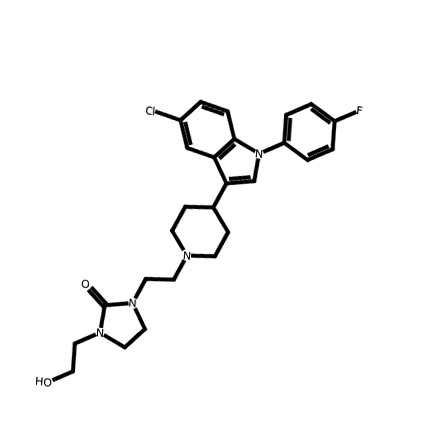 O=C1N(CCO)CCN1CCN1CCC(c2cn(-c3ccc(F)cc3)c3ccc(Cl)cc23)CC1